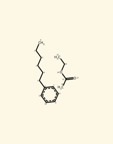 CCCCCCc1ccccc1.CCOC(C)=O